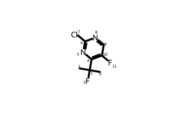 CC(C)(F)c1nc(Cl)ncc1F